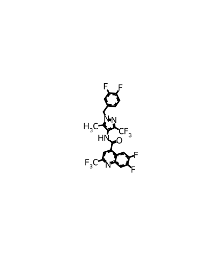 Cc1c(NC(=O)c2cc(C(F)(F)F)nc3cc(F)c(F)cc23)c(C(F)(F)F)nn1Cc1ccc(F)c(F)c1